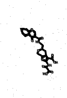 O=C(O)C(=O)Nc1sc2c(c1C(=O)O)CC(CNC(=O)c1coc3ccccc3c1=O)OC2